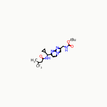 CC(CC(=O)NC(c1ccn2cc(CNC(=O)OC(C)(C)C)nc2n1)C1CC1)C(F)(F)F